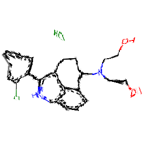 Cl.OCCN(CCO)C1CCc2c(-c3ccccc3Cl)[nH]c3cccc1c23